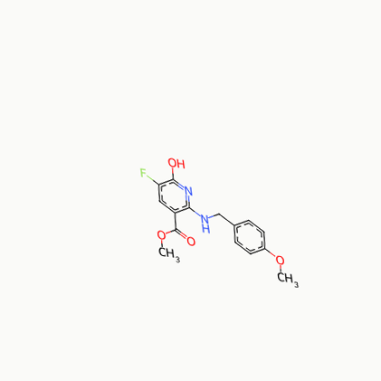 COC(=O)c1cc(F)c(O)nc1NCc1ccc(OC)cc1